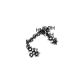 CCC(=C(c1ccccc1)c1ccc(OCCN(C)CCOCCOCCOCC(=O)N[C@H](C(=O)N2C[C@H](O)C[C@H]2C(=O)NCc2ccc(-c3scnc3C)cc2)C(C)C)cc1)c1ccccc1